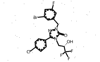 O=c1n(Cc2cc(F)cc(Br)c2)nc(-c2ccc(Cl)cc2)n1C[C@H](O)C(F)(F)F